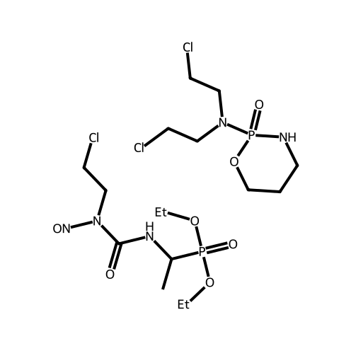 CCOP(=O)(OCC)C(C)NC(=O)N(CCCl)N=O.O=P1(N(CCCl)CCCl)NCCCO1